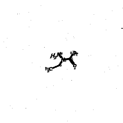 CC(C)C(=O)N(N)CC(F)(F)F